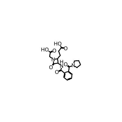 O=C(O)CCC1C(NC(=O)c2ccccc2C(=O)N2CCCC2)C(=O)N1CC(=O)O